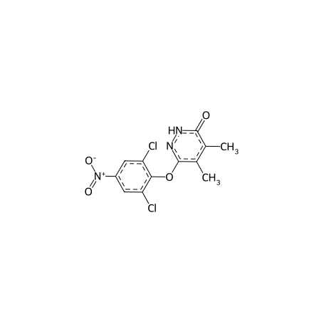 Cc1c(Oc2c(Cl)cc([N+](=O)[O-])cc2Cl)n[nH]c(=O)c1C